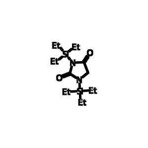 CC[Si](CC)(CC)N1CC(=O)N([Si](CC)(CC)CC)C1=O